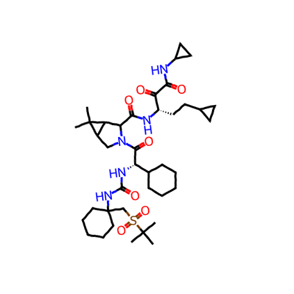 CC1(C)C2CN(C(=O)[C@@H](NC(=O)NC3(CS(=O)(=O)C(C)(C)C)CCCCC3)C3CCCCC3)C(C(=O)N[C@@H](CCC3CC3)C(=O)C(=O)NC3CC3)C21